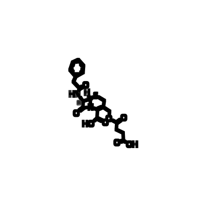 O=C(O)CCC(=O)OCC1=C(C(=O)O)N2C(=O)[C@@H](NC(=O)Cc3ccccc3)[C@@H]2SC1